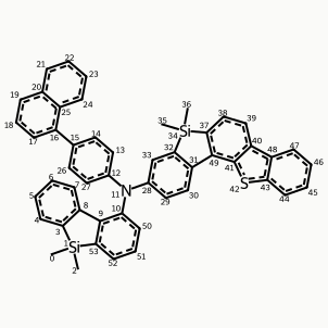 C[Si]1(C)c2ccccc2-c2c(N(c3ccc(-c4cccc5ccccc45)cc3)c3ccc4c(c3)[Si](C)(C)c3ccc5c(sc6ccccc65)c3-4)cccc21